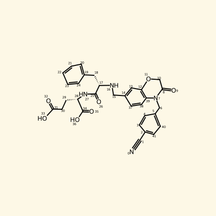 N#Cc1ccc(CN2C(=O)COc3cc(CN[C@@H](Cc4ccccc4)C(=O)N[C@@H](CCC(=O)O)C(=O)O)ccc32)cc1